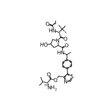 CC(NC(=O)C1CC(O)CN1C(=O)C(NC(=O)I)C(C)(C)C)c1ccc(-c2scnc2COC(=O)[C@@H](N)C(C)C)cc1